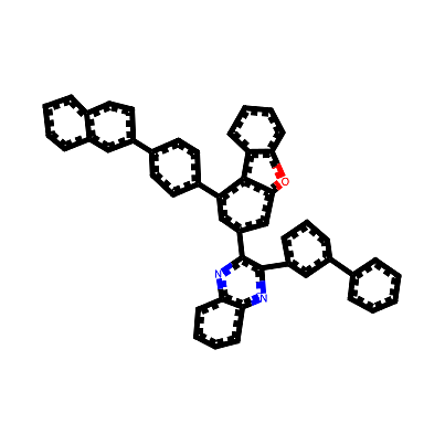 c1ccc(-c2cccc(-c3nc4ccccc4nc3-c3cc(-c4ccc(-c5ccc6ccccc6c5)cc4)c4c(c3)oc3ccccc34)c2)cc1